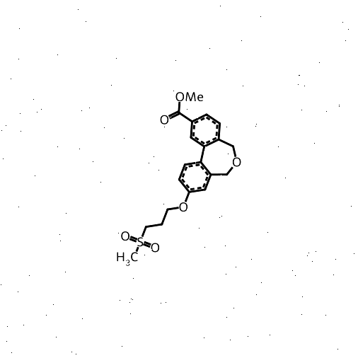 COC(=O)c1ccc2c(c1)-c1ccc(OCCCS(C)(=O)=O)cc1COC2